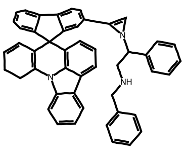 C1=CC2=C(CC1)n1c3ccccc3c3cccc(c31)C21c2ccccc2-c2ccc(C3=CN3C(CNCc3ccccc3)c3ccccc3)cc21